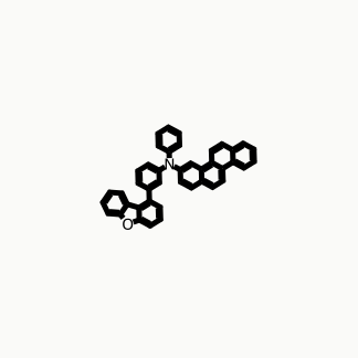 c1ccc(N(c2cccc(-c3cccc4oc5ccccc5c34)c2)c2ccc3ccc4c5ccccc5ccc4c3c2)cc1